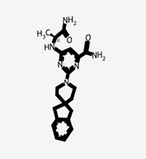 C[C@H](Nc1cc(C(N)=O)nc(N2CCC3(CC2)Cc2ccccc2C3)n1)C(N)=O